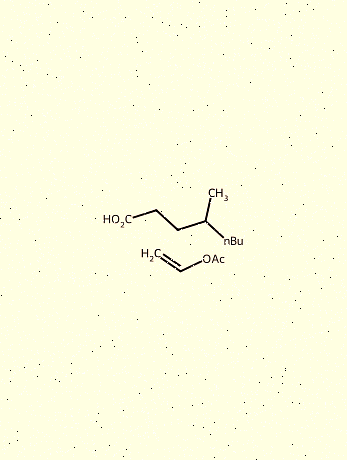 C=COC(C)=O.CCCCC(C)CCC(=O)O